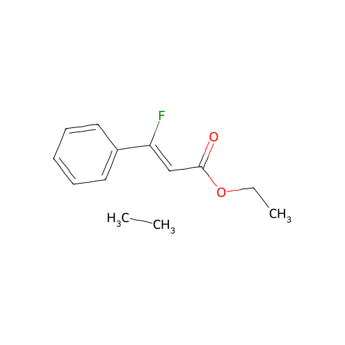 CC.CCOC(=O)C=C(F)c1ccccc1